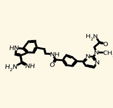 CN(CC(N)=O)c1nccc(-c2ccc(C(=O)NCCc3ccc4[nH]cc(C(=N)N)c4c3)cc2)n1